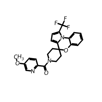 COc1ccc(C(=O)N2CCC3(CC2)Oc2ccccc2-n2c(C(F)(F)F)ccc23)nc1